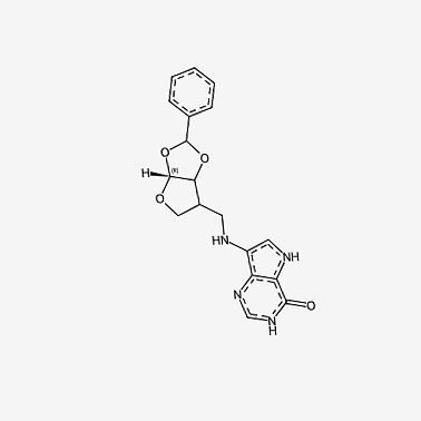 O=c1[nH]cnc2c(NCC3CO[C@@H]4OC(c5ccccc5)OC34)c[nH]c12